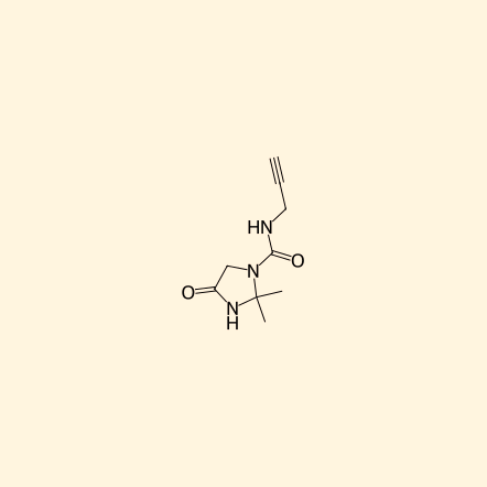 C#CCNC(=O)N1CC(=O)NC1(C)C